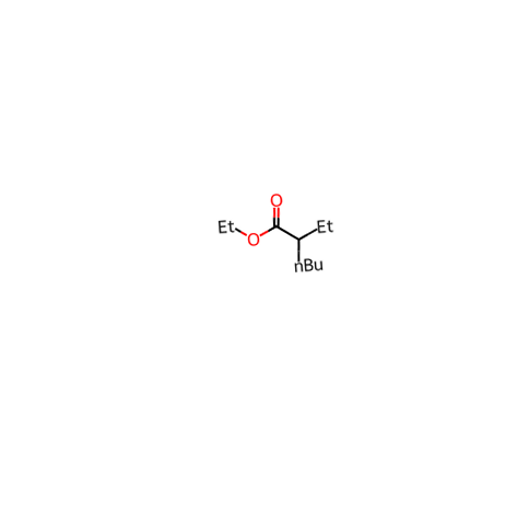 CCCCC(CC)C(=O)OCC